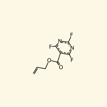 C=CCOC(=O)c1c(F)nc(F)nc1F